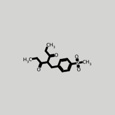 CCC(=O)C(Cc1ccc(S(C)(=O)=O)cc1)C(=O)CC